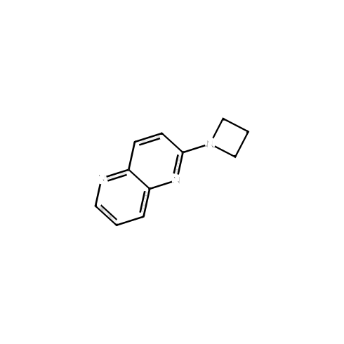 c1cnc2ccc(N3CCC3)nc2c1